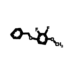 COc1ccc(OCc2ccccc2)c(F)c1F